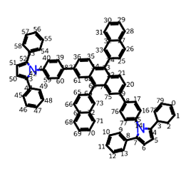 C1=CCC(c2ccc(-c3ccccc3)n2-c2ccc(-c3ccc4c(-c5ccc6ccccc6c5)c5ccc(-c6ccc(-n7c(-c8ccccc8)ccc7-c7ccccc7)cc6)cc5c(-c5ccc6ccccc6c5)c4c3)cc2)C=C1